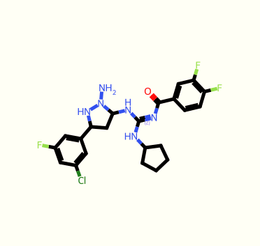 NN1NC(c2cc(F)cc(Cl)c2)CC1N/C(=N\C(=O)c1ccc(F)c(F)c1)NC1CCCC1